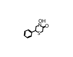 O=C1CSC(c2ccccc2)CN1O